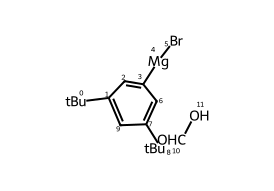 CC(C)(C)c1c[c]([Mg][Br])cc(C(C)(C)C)c1.O=CO